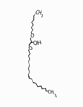 CCCCCCCCC/C=C\CCCCCCCCOCC(O)COCCCCCCCC